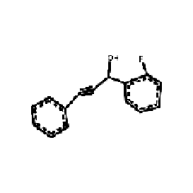 OC(C#Cc1ccccc1)c1ccccc1F